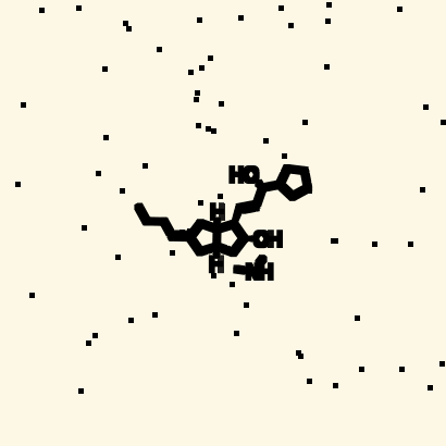 CCCC=C1C[C@H]2C[C@@H](O)[C@H](C=C[C@@H](O)C3CCCC3)[C@H]2C1.CNC